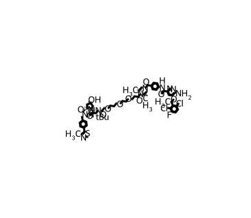 Cc1ncsc1-c1ccc(CNC(=O)[C@@H]2C[C@@H](O)CN2C(=O)C(NC(=O)COCCCOCCOCCC(=O)N2[C@H](C)CN(C(=O)c3ccc(NC(=O)c4cc(OC(C)c5c(Cl)ccc(F)c5Cl)c(N)nn4)cc3)C[C@@H]2C)C(C)(C)C)cc1